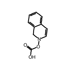 O=C(O)ON1C=Cc2ccccc2C1